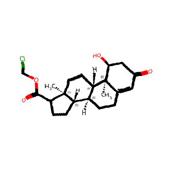 C[C@]12CC[C@H]3[C@@H](CCC4=CC(=O)CC(O)[C@@]43C)[C@@H]1CCC2C(=O)OCCl